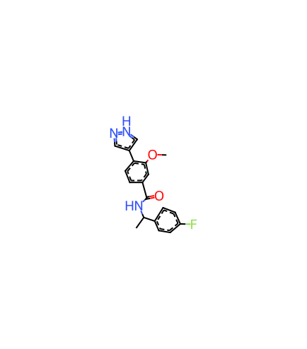 COc1cc(C(=O)NC(C)c2ccc(F)cc2)ccc1-c1cn[nH]c1